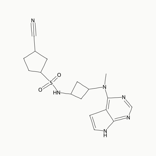 CN(c1ncnc2[nH]ccc12)C1CC(NS(=O)(=O)C2CCC(C#N)C2)C1